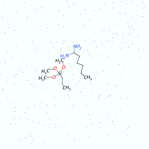 CCCCCC(N)N.CCC[Si](OC)(OC)OC